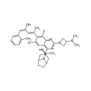 CC(=N)N1C2CCC1CN(c1nc(N3CC(N(C)C)C3)nc3c(F)c(/C(C)=C/C(O)=C\c4ccccc4C)c(Cl)cc13)C2